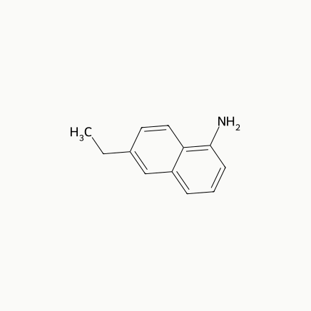 CCc1ccc2c(N)cccc2c1